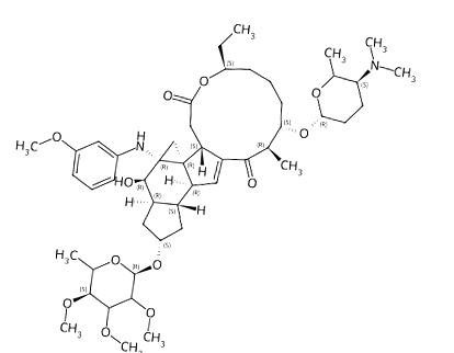 CC[C@H]1CCC[C@H](O[C@H]2CC[C@H](N(C)C)C(C)O2)[C@@H](C)C(=O)C2=C[C@H]3[C@@H]4C[C@H](O[C@@H]5OC(C)[C@H](OC)C(OC)C5OC)C[C@H]4[C@@H](O)[C@@]4(Nc5cccc(OC)c5)C[C@]34[C@@H]2CC(=O)O1